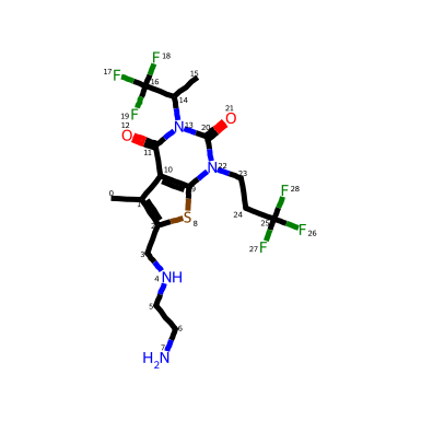 Cc1c(CNCCN)sc2c1c(=O)n(C(C)C(F)(F)F)c(=O)n2CCC(F)(F)F